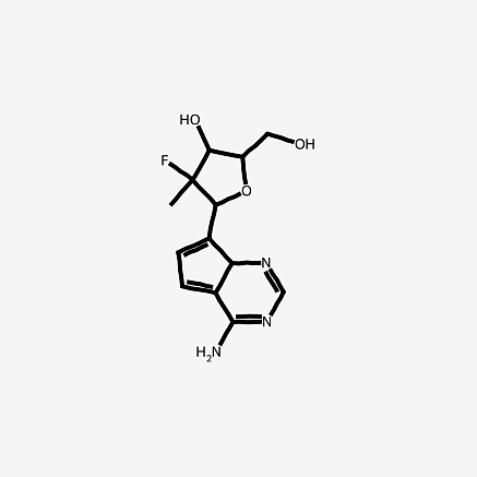 CC1(F)C(C2=CC=C3C(N)=NC=NC32)OC(CO)C1O